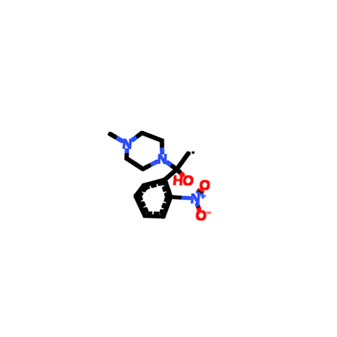 [CH2]C(O)(c1ccccc1[N+](=O)[O-])N1CCN(C)CC1